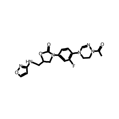 CC(=O)N1CCN(c2ccc(N3CC(CNc4ccon4)OC3=O)cc2F)C=N1